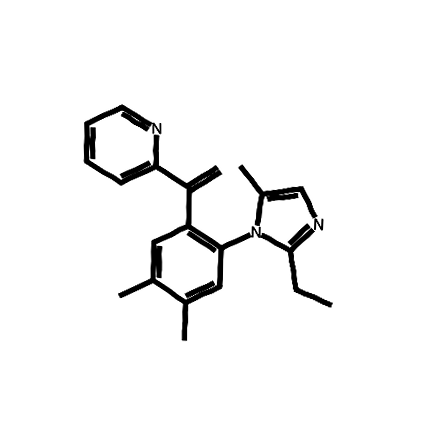 C=C(c1ccccn1)c1cc(C)c(C)cc1-n1c(C)cnc1CC